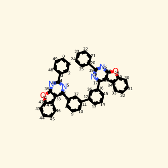 c1ccc(-c2nc(-c3cccc(-c4cccc(-c5nc(-c6ccccc6)nc6oc7ccccc7c56)c4)c3)c3c(n2)oc2ccccc23)cc1